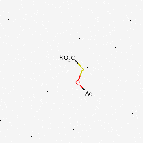 CC(=O)OSC(=O)O